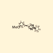 COc1cccc(C#Cc2cnc(N3CCCCC3)nc2)c1